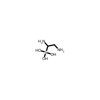 NCC(N)[Si](O)(O)O